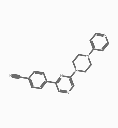 N#Cc1ccc(-c2cncc(N3CCN(c4ccncc4)CC3)n2)cc1